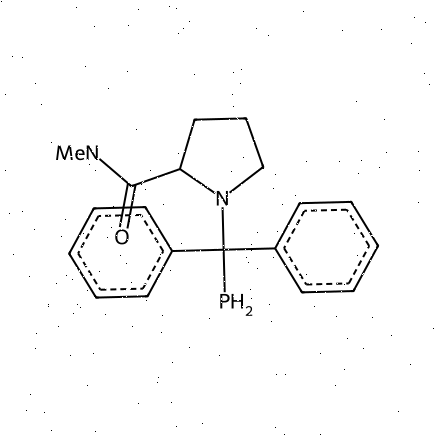 CNC(=O)C1CCCN1C(P)(c1ccccc1)c1ccccc1